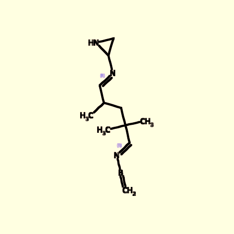 C=B/N=C/C(C)(C)CC(C)/C=N/C1CN1